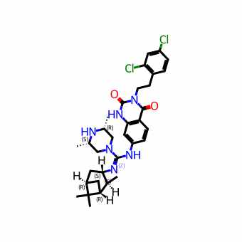 C[C@@H]1[C@@H](/N=C(/Nc2ccc3c(=O)n(CCc4ccc(Cl)cc4Cl)c(=O)[nH]c3c2)N2C[C@@H](C)N[C@@H](C)C2)C[C@H]2C[C@H]1C2(C)C